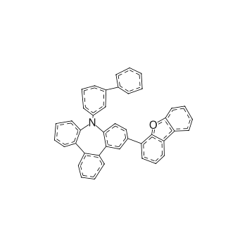 c1ccc(-c2cccc(N3c4ccccc4-c4ccccc4-c4cc(-c5cccc6c5oc5ccccc56)ccc43)c2)cc1